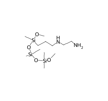 CO[Si](C)(C)O[Si](C)(C)O[Si](C)(CCCNCCN)OC